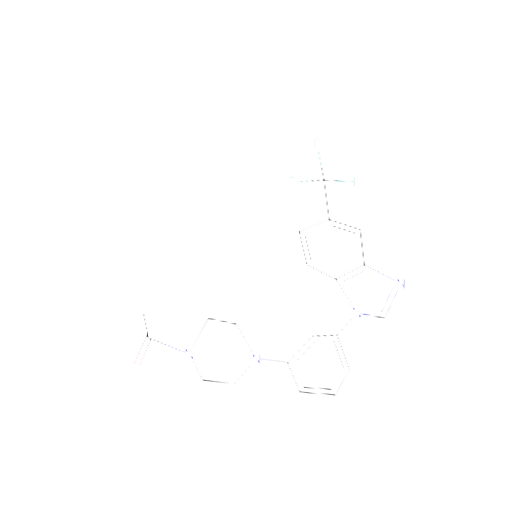 CC(=O)N1CCN(c2cccc(-n3cnc4cc(C(F)(F)F)ccc43)c2)CC1